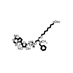 CCCCCCCCCCCCCCCCCCOC[C@H](COP(=O)(O)OC[C@H]1O[C@@](C)(c2ccc3c(N)ncnn23)[C@H](O)[C@@H]1O)N(C)Cc1ccccc1